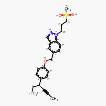 CC#C[C@@H](CC(=O)O)c1ccc(OCc2ccc3c(cnn3CCCS(C)(=O)=O)c2)cc1